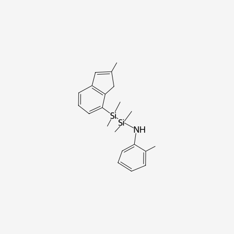 CC1=Cc2cccc([Si](C)(C)[Si](C)(C)Nc3ccccc3C)c2C1